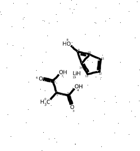 CC(C(=O)O)C(=O)O.Oc1c2cccc1-2.[LiH]